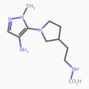 Cn1ncc(N)c1N1CCC(CCNC(=O)O)C1